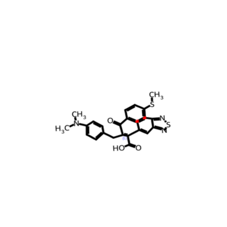 CSc1ccc(C(=O)/C(Cc2ccc(N(C)C)cc2)=C(/C(=O)O)c2ccc3nsnc3c2)cc1